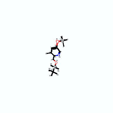 CC1C=C(O[Si](C)(C)C)C=NC1CO[Si](C)(C)C(C)(C)C